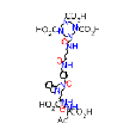 CC(=O)CC[C@@H](NC(=O)N[C@H](CCCCN(Cc1nccc2ccccc12)C(=O)c1ccc(CNC(=O)CCCCNC(=O)CN2CCN(CC(=O)O)CCN(CC(=O)O)CCN(CC(=O)O)CC2)cc1)C(=O)O)C(=O)O